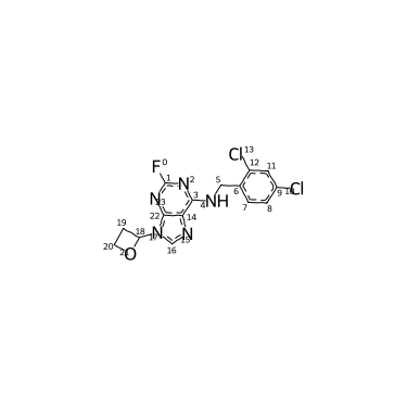 Fc1nc(NCc2ccc(Cl)cc2Cl)c2ncn(C3CCO3)c2n1